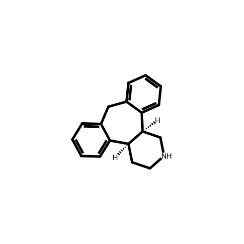 c1ccc2c(c1)Cc1ccccc1[C@@H]1CCNC[C@H]21